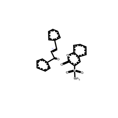 NS(=O)(=O)c1cc2ccccc2oc1=O.O=C(/C=C/c1ccccc1)c1ccccc1